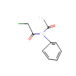 CCCC(=O)N(C(=O)CCl)c1ccccc1